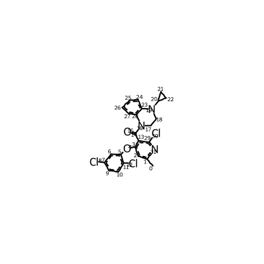 Cc1cc(Oc2cc(Cl)ccc2Cl)c(C(=O)N2CCN(C3CC3)c3ccccc32)c(Cl)n1